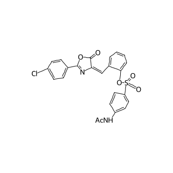 CC(=O)Nc1ccc(S(=O)(=O)Oc2ccccc2C=C2N=C(c3ccc(Cl)cc3)OC2=O)cc1